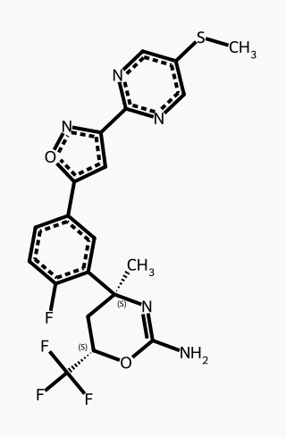 CSc1cnc(-c2cc(-c3ccc(F)c([C@]4(C)C[C@@H](C(F)(F)F)OC(N)=N4)c3)on2)nc1